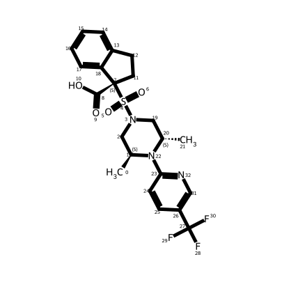 C[C@H]1CN(S(=O)(=O)[C@@]2(C(=O)O)CCc3ccccc32)C[C@H](C)N1c1ccc(C(F)(F)F)cn1